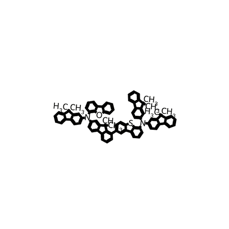 CC1(C)c2ccccc2-c2ccc(N(c3ccc4c(c3)C(C)(C)c3c(-c5ccc6sc7c(N(c8ccc9c(c8)C(C)(C)c8ccccc8-9)c8ccc9c(c8)C(C)(C)c8ccccc8-9)cccc7c6c5)cccc3-4)c3cccc4c3oc3ccccc34)cc21